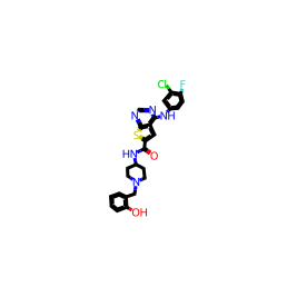 O=C(NC1CCN(Cc2ccccc2O)CC1)c1cc2c(Nc3ccc(F)c(Cl)c3)ncnc2s1